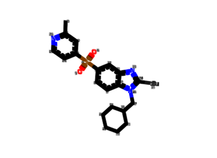 Cc1cc(S(=O)(=O)c2ccc3c(c2)nc(C(C)(C)C)n3CC2CCCCC2)ccn1